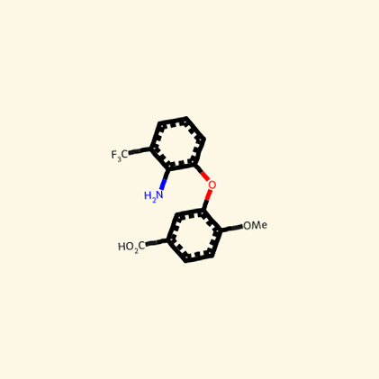 COc1ccc(C(=O)O)cc1Oc1cccc(C(F)(F)F)c1N